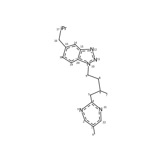 Cc1cnc(CC(C)CCn2nnc3cc(CC(C)C)ccc32)nc1